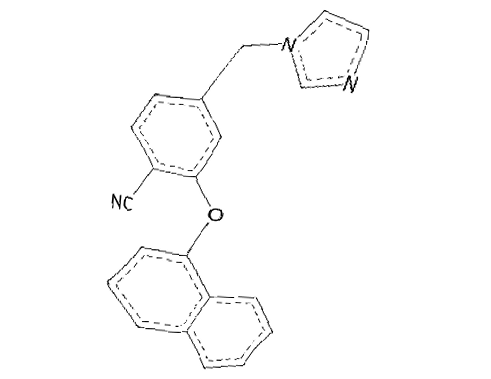 N#Cc1ccc(Cn2ccnc2)cc1Oc1cccc2ccccc12